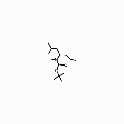 CCC[C@@H](CC(C)C)N(C)C(=O)OC(C)(C)C